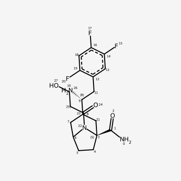 NC(=O)[C@]12CCC(CC([C@H](N)Cc3cc(F)c(F)cc3F)C1)N2C(=O)[CH]CO